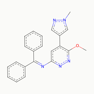 COc1nnc(N=C(c2ccccc2)c2ccccc2)cc1-c1cnn(C)c1